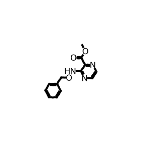 COC(=O)c1nccnc1NOCc1ccccc1